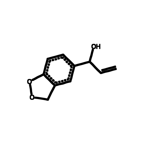 C=CC(O)c1ccc2c(c1)COO2